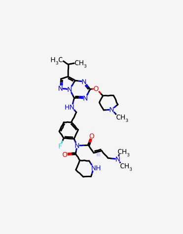 CC(C)c1cnn2c(NCc3ccc(F)c(N(C(=O)/C=C/CN(C)C)C(=O)C4CCCNC4)c3)nc(OC3CCN(C)CC3)nc12